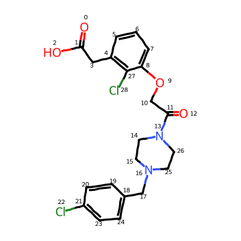 O=C(O)Cc1cccc(OCC(=O)N2CCN(Cc3ccc(Cl)cc3)CC2)c1Cl